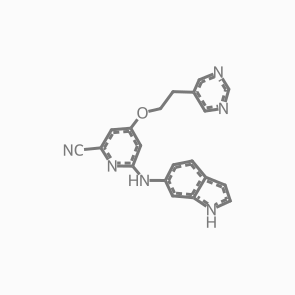 N#Cc1cc(OCCc2cncnc2)cc(Nc2ccc3cc[nH]c3c2)n1